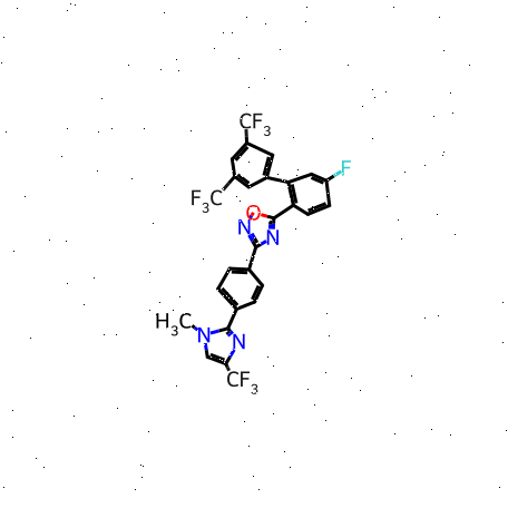 Cn1cc(C(F)(F)F)nc1-c1ccc(-c2noc(-c3ccc(F)cc3-c3cc(C(F)(F)F)cc(C(F)(F)F)c3)n2)cc1